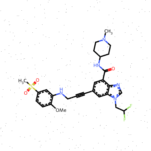 COc1ccc(S(C)(=O)=O)cc1NCC#Cc1cc(C(=O)NC2CCN(C)CC2)c2ncn(CC(F)F)c2c1